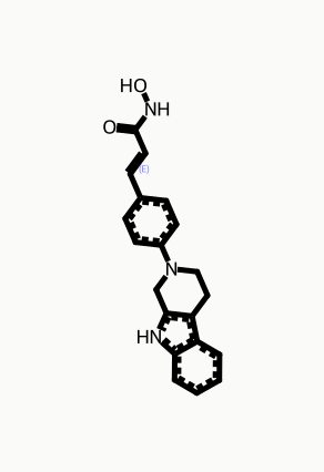 O=C(/C=C/c1ccc(N2CCc3c([nH]c4ccccc34)C2)cc1)NO